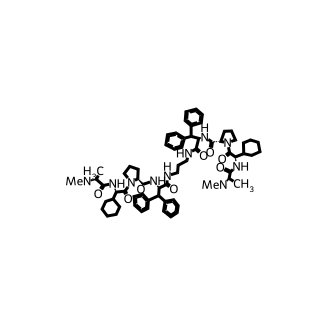 CN[C@@H](C)C(=O)N[C@H](C(=O)N1CCC[C@H]1C(=O)N[C@H](C(=O)NCCCNC(=O)[C@@H](NC(=O)[C@@H]1CCCN1C(=O)[C@@H](NC(=O)[C@@H](C)NC)C1CCCCC1)C(c1ccccc1)c1ccccc1)C(c1ccccc1)c1ccccc1)C1CCCCC1